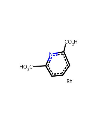 O=C(O)c1cccc(C(=O)O)n1.[Rh]